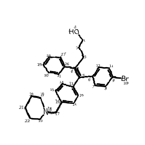 OCCC/C(=C(\c1ccc(Br)cc1)c1ccc(CN2CCCCC2)cc1)c1ccccc1